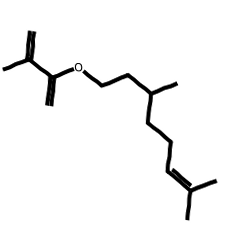 C=C(C)C(=C)OCCC(C)CCC=C(C)C